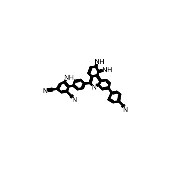 N#Cc1ccc(-c2ccc3c4c(c(-c5ccc(-c6c(N)cc(C#N)cc6C#N)cc5)nc3c2)C=CC(=N)C4=N)cc1